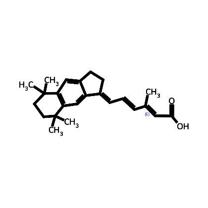 C/C(C=CC=C1CCc2cc3c(cc21)C(C)(C)CCC3(C)C)=C\C(=O)O